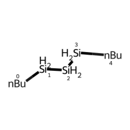 CCCC[SiH2][SiH2][SiH2]CCCC